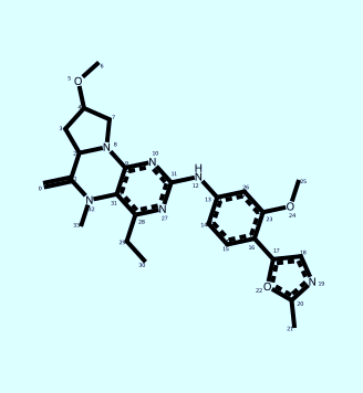 C=C1C2CC(OC)CN2c2nc(Nc3ccc(-c4cnc(C)o4)c(OC)c3)nc(CC)c2N1C